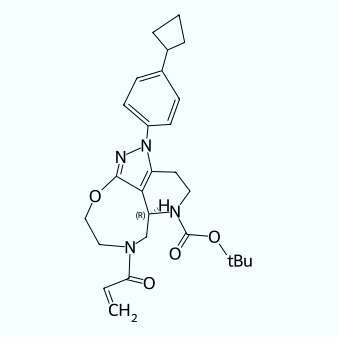 C=CC(=O)N1CCOc2nn(-c3ccc(C4CCC4)cc3)c3c2[C@H](C1)N(C(=O)OC(C)(C)C)CC3